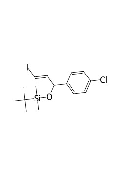 CC(C)(C)[Si](C)(C)OC(/C=C/I)c1ccc(Cl)cc1